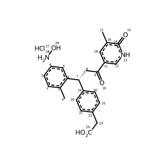 Cc1ccccc1[C@H](CC(=O)c1c[nH]c(=O)c(C)c1)c1ccc(CC(=O)O)cc1.Cl.NO